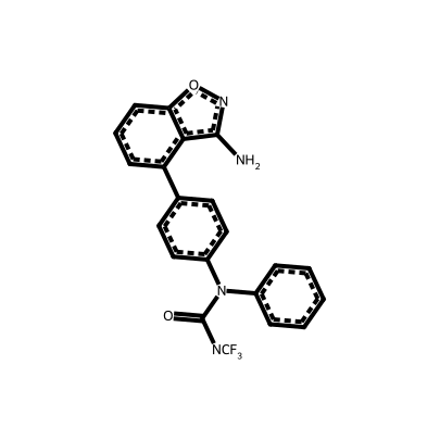 Nc1noc2cccc(-c3ccc(N(C(=O)NC(F)(F)F)c4ccccc4)cc3)c12